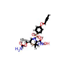 CC#CCOc1ccc(S(=O)(=O)N2C[C@H](C(OC(N)=O)C(C)(C)C)SC(C)(C)[C@@H]2C(=O)NO)cc1